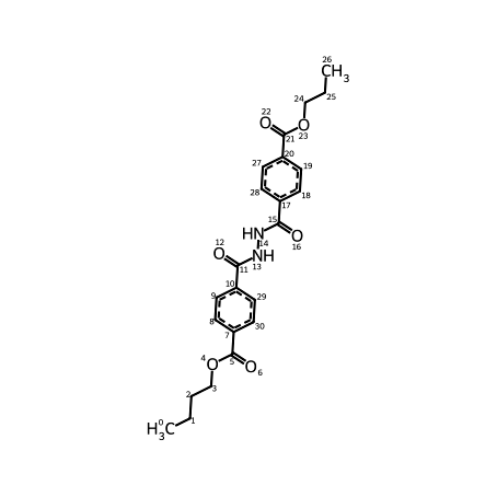 CCCCOC(=O)c1ccc(C(=O)NNC(=O)c2ccc(C(=O)OCCC)cc2)cc1